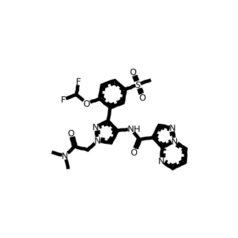 CN(C)C(=O)Cn1cc(NC(=O)c2cnn3cccnc23)c(-c2cc(S(C)(=O)=O)ccc2OC(F)F)n1